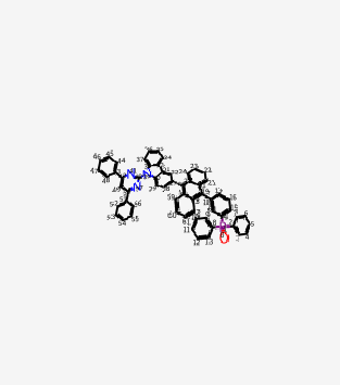 O=P(c1ccccc1)(c1ccccc1)c1cccc(-c2c3ccccc3c(-c3ccc4c(c3)c3ccccc3n4-c3nc(-c4ccccc4)cc(-c4ccccc4)n3)c3ccccc23)c1